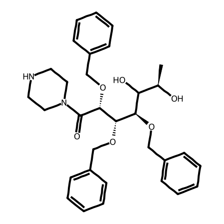 C[C@@H](O)C(O)[C@@H](OCc1ccccc1)[C@H](OCc1ccccc1)[C@@H](OCc1ccccc1)C(=O)N1CCNCC1